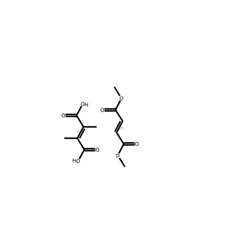 C/C(C(=O)O)=C(/C)C(=O)O.COC(=O)/C=C/C(=O)OC